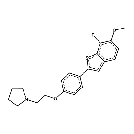 COc1ccc2cc(-c3ccc(OCCN4CCCC4)cc3)sc2c1F